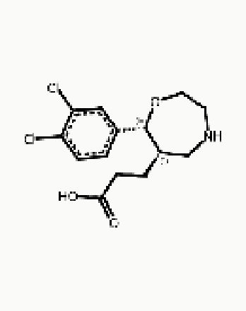 O=C(O)CC[C@@H]1CNCCO[C@H]1c1ccc(Cl)c(Cl)c1